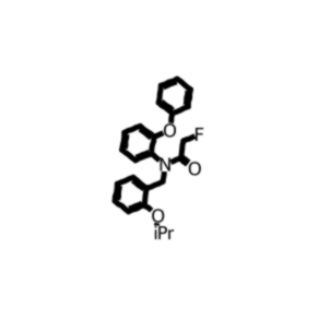 CC(C)Oc1ccccc1CN(C(=O)CF)c1ccccc1Oc1ccccc1